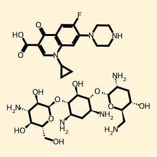 NC[C@H]1O[C@H](O[C@H]2[C@H](O)[C@@H](O[C@H]3O[C@H](CO)[C@@H](O)[C@H](N)[C@H]3O)[C@H](N)C[C@@H]2N)[C@H](N)C[C@@H]1O.O=C(O)c1cn(C2CC2)c2cc(N3CCNCC3)c(F)cc2c1=O